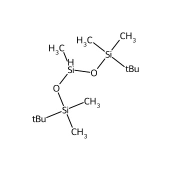 C[SiH](O[Si](C)(C)C(C)(C)C)O[Si](C)(C)C(C)(C)C